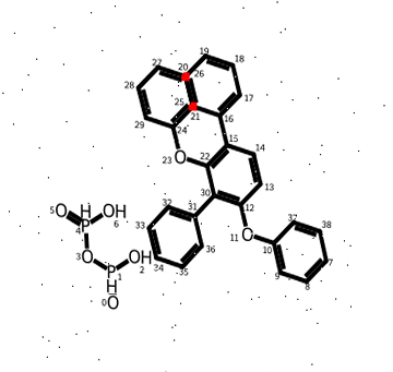 O=[PH](O)O[PH](=O)O.c1ccc(Oc2ccc(-c3ccccc3)c(Oc3ccccc3)c2-c2ccccc2)cc1